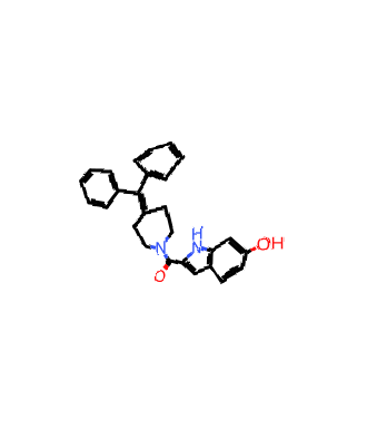 O=C(c1cc2ccc(O)cc2[nH]1)N1CCC(=C(c2ccccc2)c2ccccc2)CC1